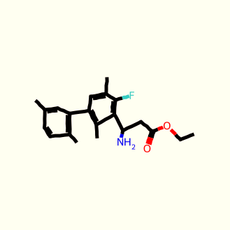 CCOC(=O)CC(N)c1c(C)c(-c2cc(C)ccc2C)cc(C)c1F